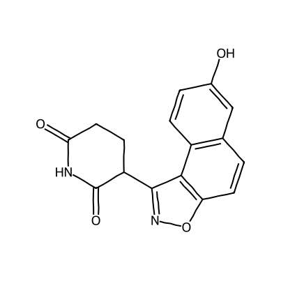 O=C1CCC(c2noc3ccc4cc(O)ccc4c23)C(=O)N1